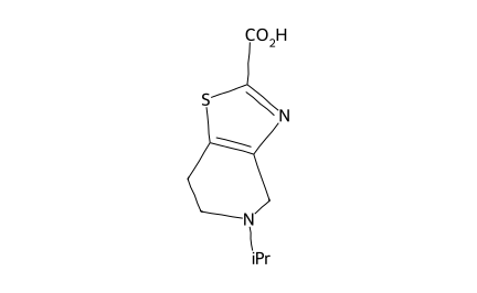 CC(C)N1CCc2sc(C(=O)O)nc2C1